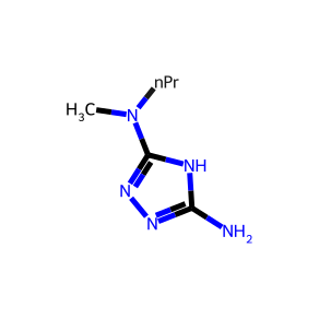 CCCN(C)c1nnc(N)[nH]1